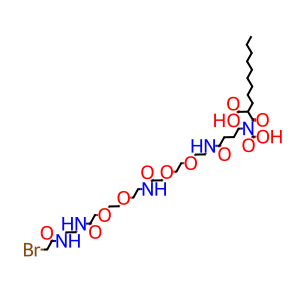 CCCCCCCCCC(C(=O)O)C(=O)N(CCCC(=O)NCCOCCOCC(=O)NCCOCCOCC(=O)NCCNC(=O)CBr)C(=O)O